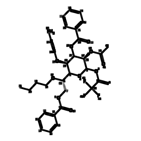 C=C(OC1OC([C@H](COC(=O)c2ccccc2)OCCCC)[C@@H](OB=BP)C(OC(=O)c2ccccc2)[C@H]1OC(C)=O)C(F)(F)F